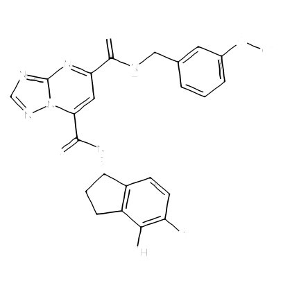 CC(=O)c1ccc2c(c1C)CC[C@@H]2NC(=O)c1cc(C(=O)NCc2cccc(OC(F)(F)F)c2)nc2ncnn12